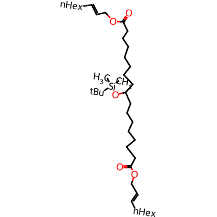 CCCCCCC=CCOC(=O)CCCCCCCC(CCCCCCCC(=O)OCC=CCCCCCC)O[Si](C)(C)C(C)(C)C